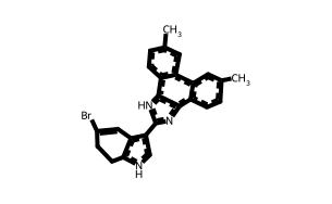 Cc1ccc2c(c1)c1cc(C)ccc1c1[nH]c(-c3c[nH]c4c3C=C(Br)CC4)nc21